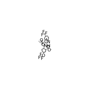 CCS(=O)(=O)c1c(NCc2ccc(OC(F)(F)F)cc2C(=O)OC)nn2ccc(C(F)(F)F)cc12